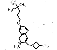 CC1CN(CC2=Cc3ccc(OCCCC(C)(C)C)cc3C[C@@H]2C)C1